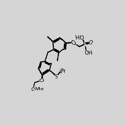 COCOc1ccc(Cc2c(C)cc(OCP(=O)(O)O)cc2C)cc1SC(C)C